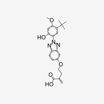 C=C(CCOc1ccc2nn(-c3cc(C(C)(C)C)c(OC)cc3O)nc2c1)C(=O)O